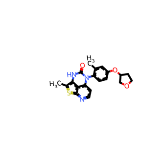 Cc1cc(OC2CCOC2)ccc1N1C(=O)Nc2c(C)sc3nccc1c23